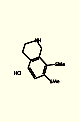 CSc1ccc2c(c1SC)CNCC2.Cl